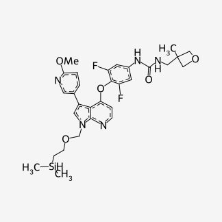 COc1ccc(-c2cn(COCC[SiH](C)C)c3nccc(Oc4c(F)cc(NC(=O)NCC5(C)COC5)cc4F)c23)cn1